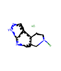 BrN1CCc2c(cnc3[nH]ncc23)C1.Cl